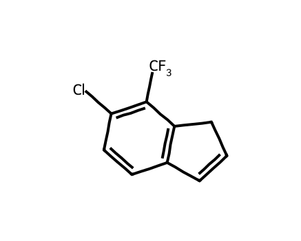 FC(F)(F)c1c(Cl)ccc2c1CC=C2